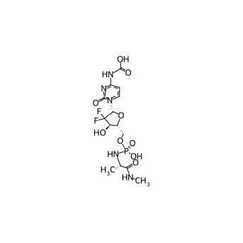 CNC(=O)[C@H](C)NP(=O)(O)OC[C@H]1O[C@@H](n2ccc(NC(=O)O)nc2=O)C(F)(F)[C@@H]1O